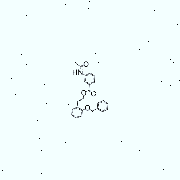 CC(=O)Nc1cccc(C(=O)OCCc2ccccc2OCc2ccccc2)c1